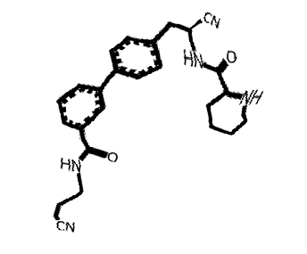 N#CCCNC(=O)c1cccc(-c2ccc(C[C@@H](C#N)NC(=O)C3CCCCN3)cc2)c1